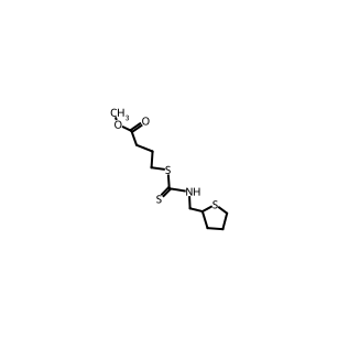 COC(=O)CCCSC(=S)NCC1CCCS1